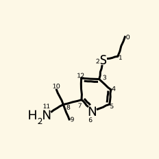 CCSc1ccnc(C(C)(C)N)c1